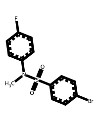 CN(c1ccc(F)cc1)S(=O)(=O)c1ccc(Br)cc1